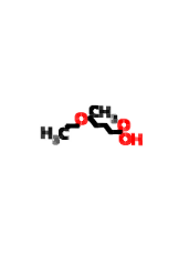 CCCOC(C)CCCC(=O)O